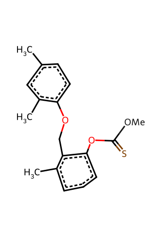 COC(=S)Oc1cccc(C)c1COc1ccc(C)cc1C